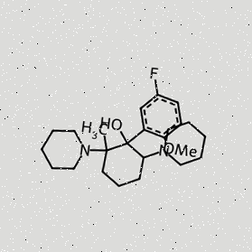 COc1ccc(F)cc1C1(O)C(N2CCCCC2)CCCC1(C)N1CCCCC1